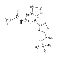 CC(C)(C)OC(=O)N1CC=C(c2cc(NC(=O)C3CC3)nc3[nH]ccc23)C1